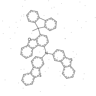 CC1(c2ccc(N(c3ccc4c(c3)sc3ccccc34)c3ccc4sc5ccccc5c4c3)c3c2oc2ccccc23)c2ccccc2-c2ccccc21